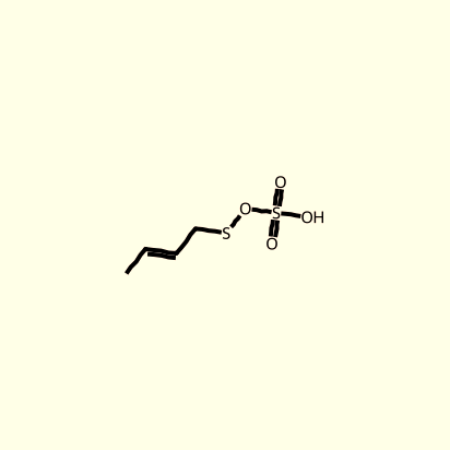 CC=CCSOS(=O)(=O)O